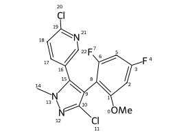 COc1cc(F)cc(F)c1-c1c(Cl)nn(C)c1-c1ccc(Cl)nc1